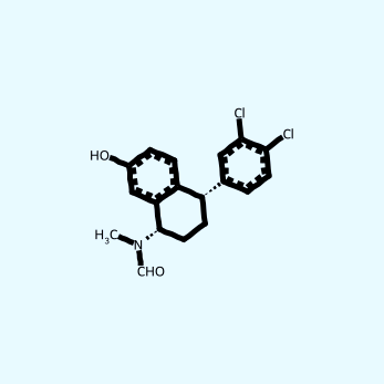 CN(C=O)[C@H]1CC[C@@H](c2ccc(Cl)c(Cl)c2)c2ccc(O)cc21